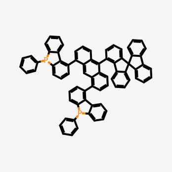 c1ccc(-p2c3ccccc3c3c(-c4cccc5c(-c6cccc7c6-c6ccccc6C76c7ccccc7-c7ccccc76)c6cccc(-c7cccc8c7c7ccccc7p8-c7ccccc7)c6cc45)cccc32)cc1